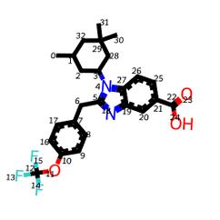 CC1CC(n2c(Cc3ccc(OC(F)(F)F)cc3)nc3cc(C(=O)O)ccc32)CC(C)(C)C1